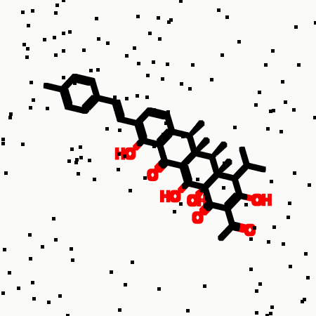 CC(=O)C1=C(O)C(C(C)C)[C@@]2(C)[C@H](C)[C@]3(C)C(=C(O)[C@@]2(O)C1=O)C(=O)c1c(ccc(/C=C/c2ccc(C)cc2)c1O)[C@H]3C